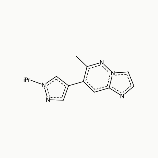 Cc1nn2ccnc2cc1-c1cnn(C(C)C)c1